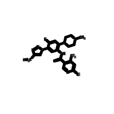 CN1CCN(c2cc(F)c(-n3cc(C(=O)O)nn3)cc2NC(=O)c2cnc(Cl)cc2C(F)(F)F)CC1